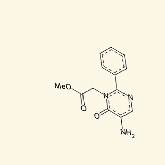 COC(=O)Cn1c(-c2ccccc2)ncc(N)c1=O